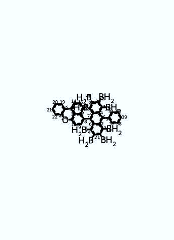 Bc1c(B)c(B)c2c(-c3ccc4c5c(cccc35)-c3ccccc3O4)c3c(B)c(B)c(B)c(B)c3c(-c3ccccc3)c2c1B